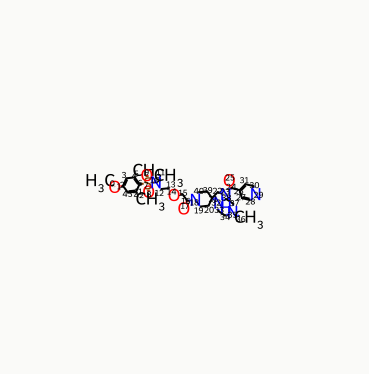 COc1cc(C)c(S(=O)(=O)N(C)CCOCC(=O)N2CCC(CNC(=O)c3ccncc3)(N3CCN(C)CC3)CC2)c(C)c1